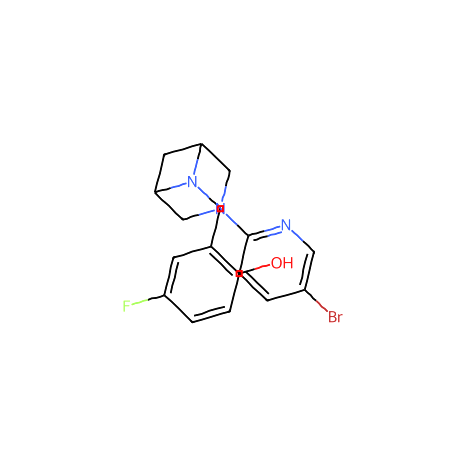 Oc1ccc(F)cc1CN1C2CC1CN(c1ccc(Br)cn1)C2